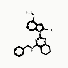 Cc1cc2c(SN)cccc2n1-c1nc2c(c(NCc3ccccc3)n1)CCCC2